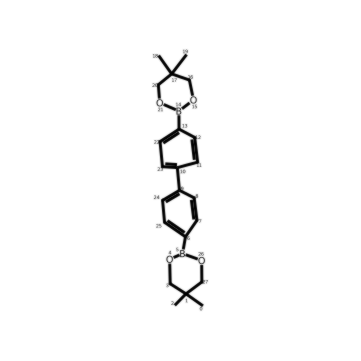 CC1(C)COB(c2ccc(-c3ccc(B4OCC(C)(C)CO4)cc3)cc2)OC1